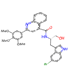 COc1cc(-c2cc(C(=O)N[C@H](CO)Cc3c[nH]c4ccc(Br)cc34)c3ccccc3n2)cc(OC)c1OC